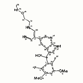 COc1cc(OC)c(F)c(C(O)c2c[nH]c3ncc(/C(C=N)=C/NCCOPI)cc23)c1F